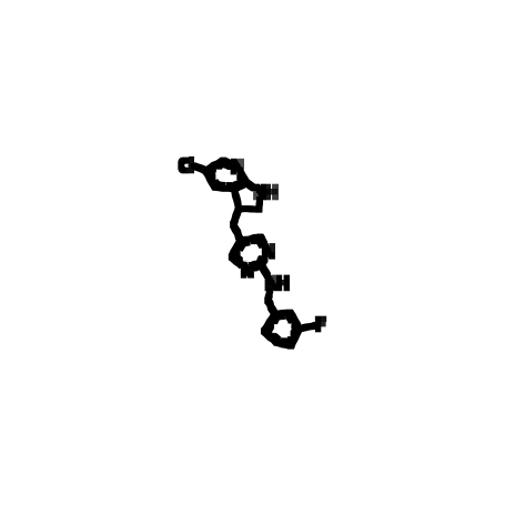 Fc1cccc(CNc2ncc(CC3CNc4ncc(Cl)cc43)cn2)c1